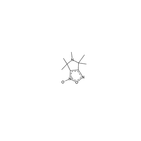 CN1C(C)(C)c2no[n+]([O-])c2C1(C)C